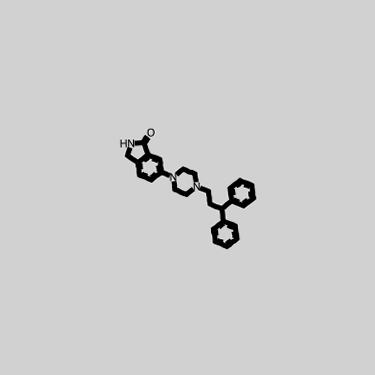 O=C1NCc2ccc(N3CCN(CCC(c4ccccc4)c4ccccc4)CC3)cc21